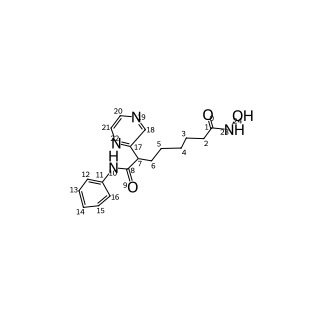 O=C(CCCCCC(C(=O)Nc1ccccc1)c1cnccn1)NO